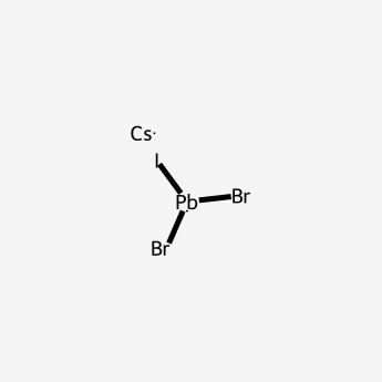 [Br][Pb]([Br])[I].[Cs]